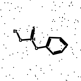 CCO[PH](=S)Oc1ccccc1